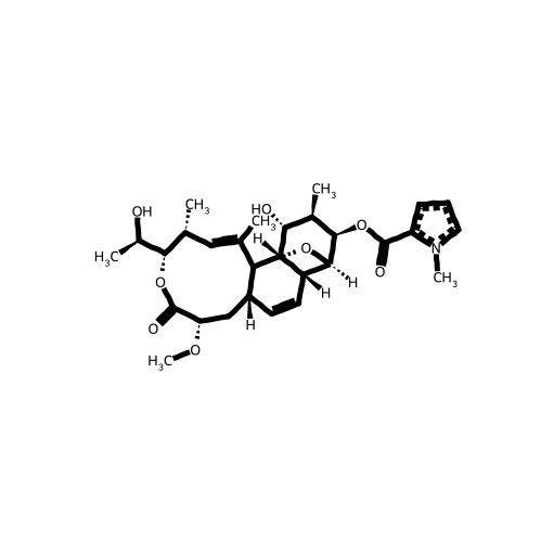 CO[C@H]1C[C@H]2C=C[C@H]3[C@H]4O[C@]2(/C(C)=C/[C@@H](C)[C@@H]([C@@H](C)O)OC1=O)[C@@H]3[C@H](O)[C@@H](C)[C@H]4OC(=O)c1cccn1C